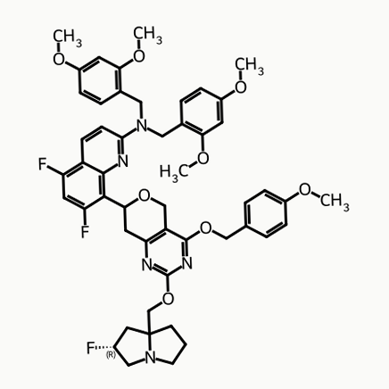 COc1ccc(COc2nc(OCC34CCCN3C[C@H](F)C4)nc3c2COC(c2c(F)cc(F)c4ccc(N(Cc5ccc(OC)cc5OC)Cc5ccc(OC)cc5OC)nc24)C3)cc1